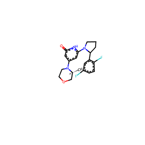 C[C@@H]1COCCN1c1cc(N2CCCC2c2cc(F)ccc2F)[nH]c(=O)c1